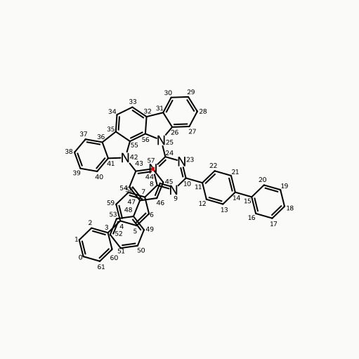 c1ccc(-c2ccc(-c3nc(-c4ccc(-c5ccccc5)cc4)nc(-n4c5ccccc5c5ccc6c7ccccc7n(-c7cccc(-c8ccccc8)c7)c6c54)n3)cc2)cc1